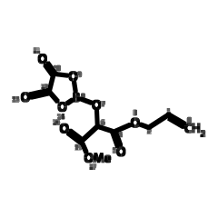 C=CCOC(=O)C(OB1OC(=O)C(=O)O1)C(=O)OC